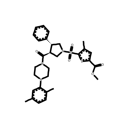 COC(=O)c1cc(C)c(S(=O)(=O)N2C[C@@H](C(=O)N3CCN(c4cc(C)ccc4C)CC3)[C@H](c3ccccc3)C2)s1